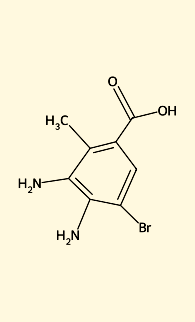 Cc1c(C(=O)O)cc(Br)c(N)c1N